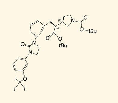 CC(C)(C)OC(=O)[C@@H](Cc1cccc(N2CCN(c3cccc(OC(I)(I)I)c3)C2=O)c1)[C@H]1CCN(C(=O)OC(C)(C)C)C1